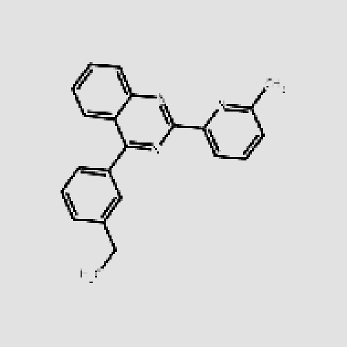 CCc1cccc(-c2nc(-c3cccc(C)n3)nc3ccccc23)c1